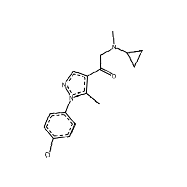 Cc1c(C(=O)CN(C)C2CC2)cnn1-c1ccc(Cl)cc1